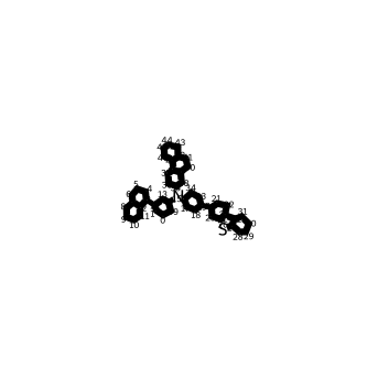 c1cc(-c2cccc3ccccc23)cc(N(c2ccc(-c3ccc4c(c3)sc3ccccc34)cc2)c2ccc3c(ccc4ccccc43)c2)c1